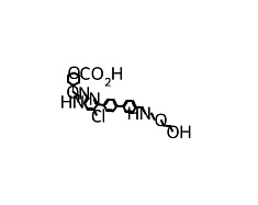 O=C(O)[C@H]1C[C@@H](Oc2nc3nc(-c4ccc(-c5ccc(CNCCOCCO)cc5)cc4)c(Cl)cc3[nH]2)CCO1